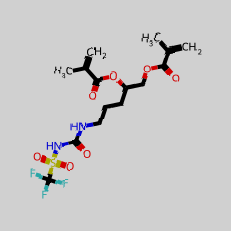 C=C(C)C(=O)OCC(CCCNC(=O)NS(=O)(=O)C(F)(F)F)OC(=O)C(=C)C